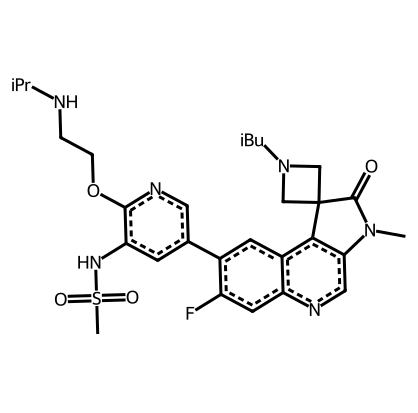 CCC(C)N1CC2(C1)C(=O)N(C)c1cnc3cc(F)c(-c4cnc(OCCNC(C)C)c(NS(C)(=O)=O)c4)cc3c12